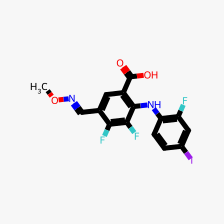 CON=Cc1cc(C(=O)O)c(Nc2ccc(I)cc2F)c(F)c1F